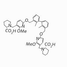 COc1nc(OCc2cccc(-c3cccc(COc4ccc(CN5CCCC[C@H]5C(=O)O)c(OC)n4)c3C)c2C)ccc1CN1CCCC[C@H]1C(=O)O